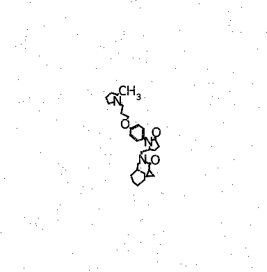 CC1CCCN1CCCOc1ccc(N2C(=O)CCC2CN(CC2CCCCC2)C(=O)C2CC2)cc1